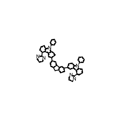 c1ccc(-n2c3ccc(-c4ccc5c(c4)-c4cc(-c6ccc7c(c6)c6c(-c8ncccn8)cccc6n7-c6ccccc6)ccc4C5)cc3c3c(-c4ncccn4)cccc32)cc1